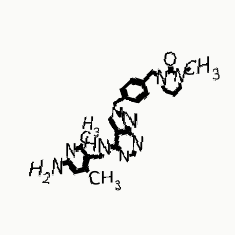 Cc1cc(N)nc(C)c1CNc1ncnc2nn(Cc3ccc(CN4CCCN(C)C4=O)cc3)cc12